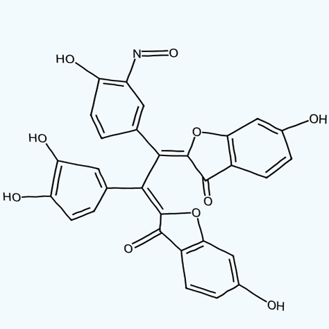 O=Nc1cc(C(/C(=C2\Oc3cc(O)ccc3C2=O)c2ccc(O)c(O)c2)=C2\Oc3cc(O)ccc3C2=O)ccc1O